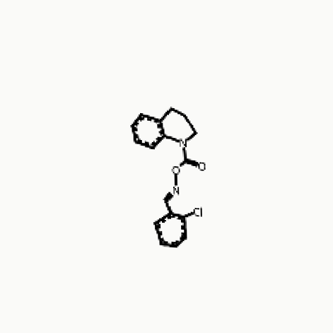 O=C(ON=Cc1ccccc1Cl)N1CCCc2ccccc21